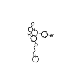 O=C1CC[C@H]2c3ccc(OCCCN4CCCCC4)cc3[C@@H](c3ccc(Br)cc3)CN12